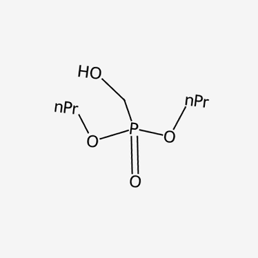 CCCOP(=O)(CO)OCCC